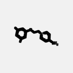 Cc1cc(C)cc(OCC[n+]2ccc(N)cc2)c1